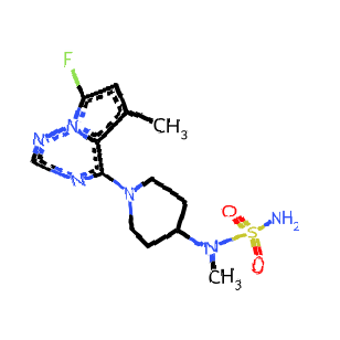 Cc1cc(F)n2ncnc(N3CCC(N(C)S(N)(=O)=O)CC3)c12